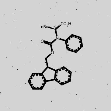 CCCC[C@@H](C(=O)O)N(C(=O)OCC1c2ccccc2-c2ccccc21)c1ccccc1